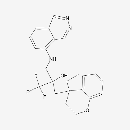 CCC1(CC(O)(CNc2cccc3cnncc23)C(F)(F)F)CCOc2ccccc21